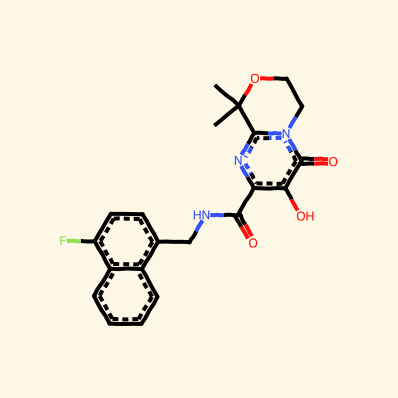 CC1(C)OCCn2c1nc(C(=O)NCc1ccc(F)c3ccccc13)c(O)c2=O